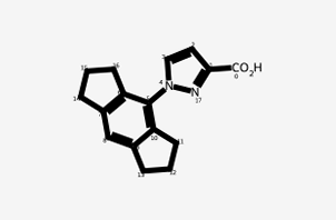 O=C(O)c1ccn(-c2c3c(cc4c2CCC4)CCC3)n1